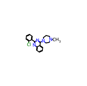 CN1CCCN(c2nc(-c3ccccc3Cl)nc3ccccc23)CC1